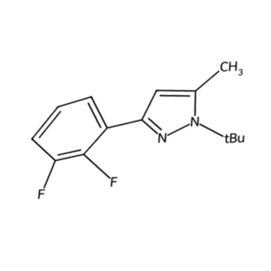 Cc1cc(-c2cccc(F)c2F)nn1C(C)(C)C